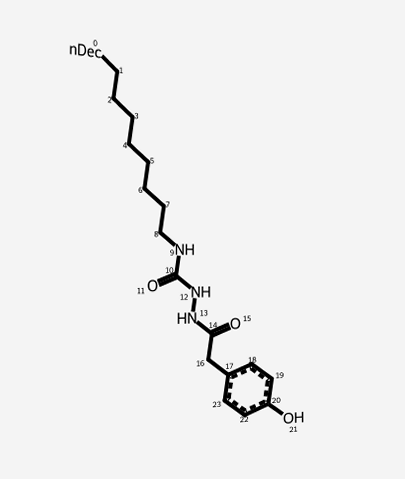 CCCCCCCCCCCCCCCCCCNC(=O)NNC(=O)Cc1ccc(O)cc1